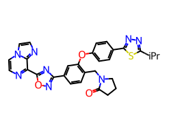 CC(C)c1nnc(-c2ccc(Oc3cc(-c4noc(-c5nccn6ccnc56)n4)ccc3CN3CCCC3=O)cc2)s1